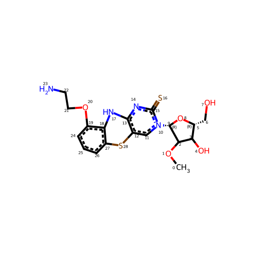 COC1C(O)[C@@H](CO)O[C@H]1n1cc2c(nc1=S)Nc1c(OCCN)cccc1S2